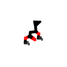 COC(=O)CC(OC)C1CC1